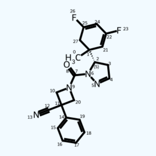 CC1([C@@H]2CC=NN2C(=O)N2CC(C#N)(c3ccccc3)C2)C=C(F)C=C(F)C1